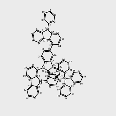 c1ccc(-n2c3ccccc3c3c(-c4ccc5c(c4)c4ccccc4n5-c4cccc5c6ccccc6n(-c6ccc([Si](c7ccccc7)(c7ccccc7)c7ccccc7)cc6)c45)cccc32)cc1